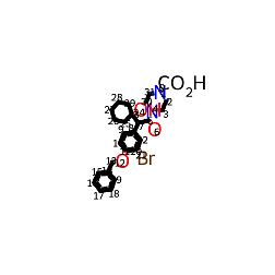 O=C(O)N1CCN(C(=O)C(c2ccc(OCc3ccccc3)c(Br)c2)C2(O)CCCCC2)CC1